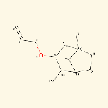 C=CCOC1CC2(C)CCC(C2)C1C